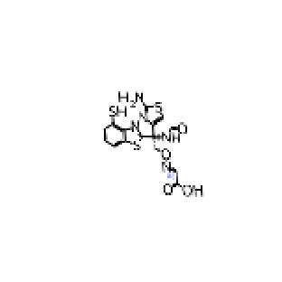 Nc1nc([C@@](CO/N=C/C(=O)O)(NC=O)c2nc3c(S)cccc3s2)cs1